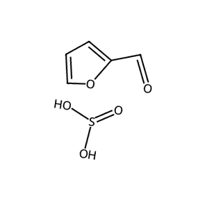 O=Cc1ccco1.O=S(O)O